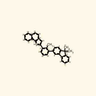 Cc1c(-c2ccc3c(c2)-c2ccccc2C3(C)C)cccc1-c1cc2ccc3ccccc3c2s1